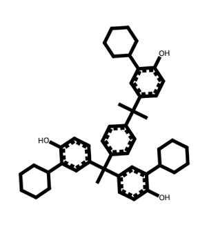 CC(C)(c1ccc(C(C)(c2ccc(O)c(C3CCCCC3)c2)c2ccc(O)c(C3CCCCC3)c2)cc1)c1ccc(O)c(C2CCCCC2)c1